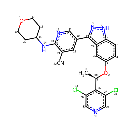 C[C@@H](Oc1ccc2[nH]nc(-c3cnc(NC4CCOCC4)c(C#N)c3)c2c1)c1c(Cl)cncc1Cl